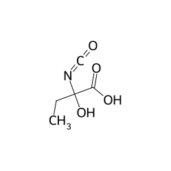 CCC(O)(N=C=O)C(=O)O